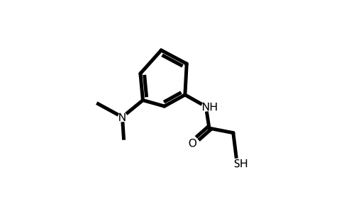 CN(C)c1cccc(NC(=O)CS)c1